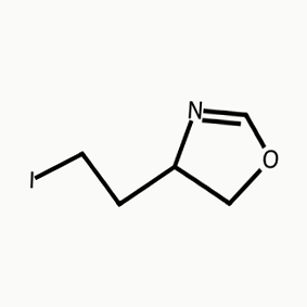 ICCC1COC=N1